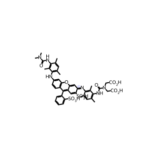 Cc1cc(C)c(NC(=O)N(CC(=O)O)CC(=O)O)c(C)c1/N=c1/cc2oc3cc(Nc4c(C)cc(C)c(NC(=O)N(C)C)c4C)ccc3c(-c3ccccc3S(=O)(=O)O)c-2cc1S(=O)(=O)O